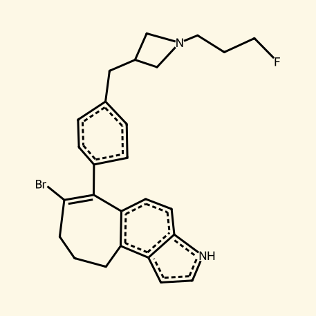 FCCCN1CC(Cc2ccc(C3=C(Br)CCCc4c3ccc3[nH]ccc43)cc2)C1